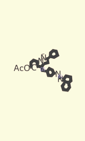 CC(=O)Oc1ccc2c(c1)/c(=C/c1ccc(/N=N/c3cccc4ccccc34)cc1)c1n2N(C)C(c2ccccc2)C=1